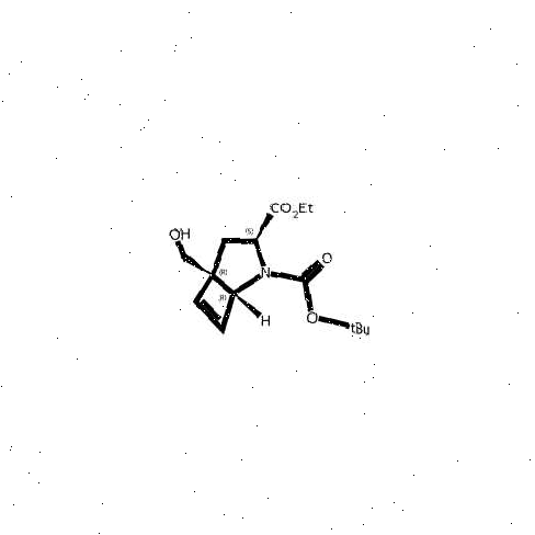 CCOC(=O)[C@@H]1C[C@@]2(CO)C=C[C@H]2N1C(=O)OC(C)(C)C